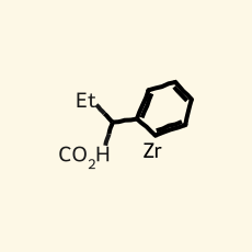 CCC(C(=O)O)c1ccccc1.[Zr]